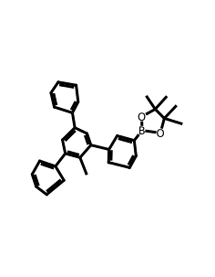 Cc1c(-c2ccccc2)cc(-c2ccccc2)cc1-c1cccc(B2OC(C)(C)C(C)(C)O2)c1